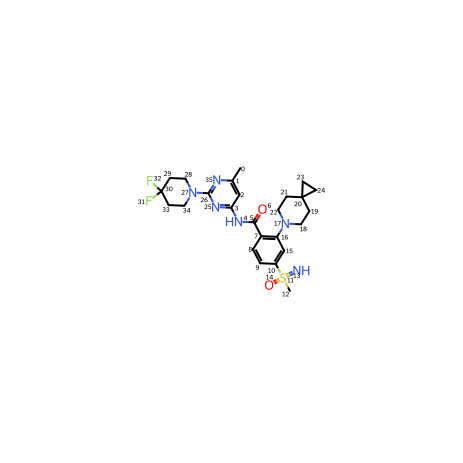 Cc1cc(NC(=O)c2ccc(S(C)(=N)=O)cc2N2CCC3(CC2)CC3)nc(N2CCC(F)(F)CC2)n1